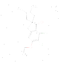 CC(=O)CCC1(CCOC(C)=O)Cc2cc(OCC#N)c(Cl)c(Cl)c2C1=O